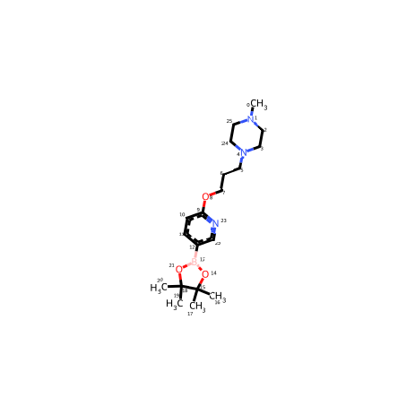 CN1CCN(CCCOc2ccc(B3OC(C)(C)C(C)(C)O3)cn2)CC1